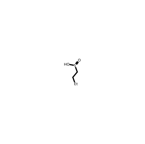 CCCCS(=O)O